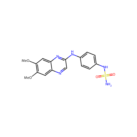 COc1cc2ncc(Nc3ccc(NS(N)(=O)=O)cc3)nc2cc1OC